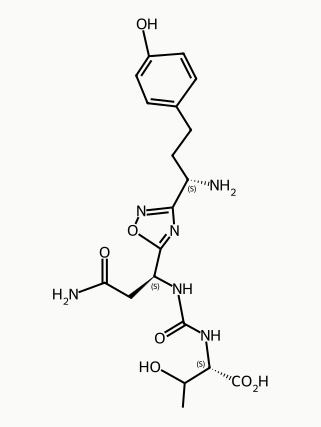 CC(O)[C@H](NC(=O)N[C@@H](CC(N)=O)c1nc([C@@H](N)CCc2ccc(O)cc2)no1)C(=O)O